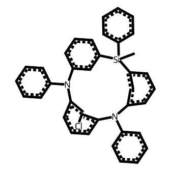 C[Si]1(c2ccccc2)c2cccc(c2)N(c2ccccc2)c2cccc(c2Cl)N(c2ccccc2)c2cccc1c2